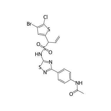 C=CC(c1cc(Br)c(Cl)s1)S(=O)(=O)Nc1nc(-c2ccc(NC(C)=O)cc2)ns1